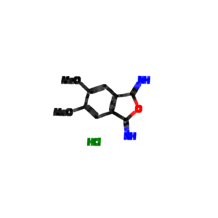 COc1cc2c(cc1OC)C(=N)OC2=N.Cl